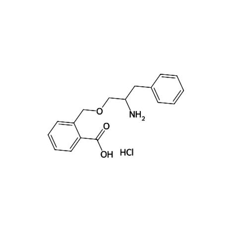 Cl.NC(COCc1ccccc1C(=O)O)Cc1ccccc1